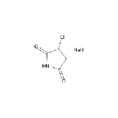 O=C1CC(Cl)C(=O)N1.[NaH]